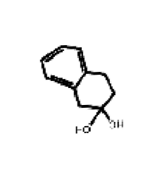 OC1(O)CCc2ccccc2C1